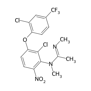 CN=C(C)N(C)c1c([N+](=O)[O-])ccc(Oc2ccc(C(F)(F)F)cc2Cl)c1Cl